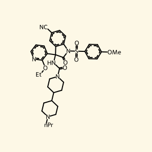 CCCN1CCC(C2CCN(C(=O)NC3(c4cccnc4OCC)C(=O)N(S(=O)(=O)c4ccc(OC)cc4)c4ccc(C#N)cc43)CC2)CC1